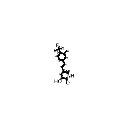 Cc1cc(C=Cc2cc(O)c(=O)[nH]n2)ccc1C(F)(F)F